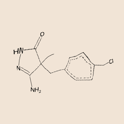 CC1(Cc2ccc(Cl)cc2)C(=O)NN=C1N